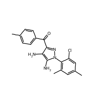 Cc1ccc(C(=O)c2nn(-c3c(C)cc(C)cc3Cl)c(N)c2N)cc1